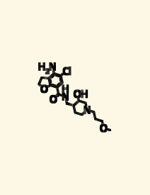 COCCCN1CC[C@@H](CNC(=O)c2cc(Cl)c(N)c3c2OCC3)C(O)C1